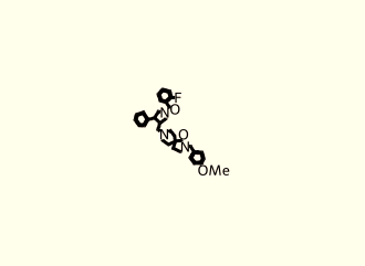 COc1ccc(CN2CCC3(CCN(CC4CN(C(=O)c5ccccc5F)CC4c4ccccc4)CC3)C2=O)cc1